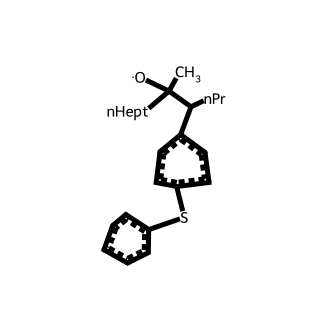 CCCCCCCC(C)([O])C(CCC)c1ccc(Sc2ccccc2)cc1